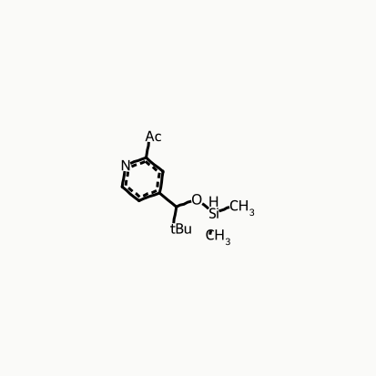 CC(=O)c1cc(C(O[SiH](C)C)C(C)(C)C)ccn1